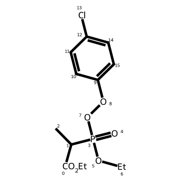 CCOC(=O)C(C)P(=O)(OCC)OOc1ccc(Cl)cc1